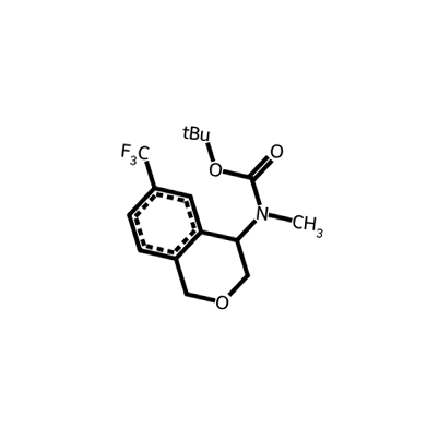 CN(C(=O)OC(C)(C)C)C1COCc2ccc(C(F)(F)F)cc21